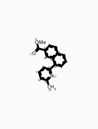 COC(=O)c1ccc2cccc(-c3cccc(C)n3)c2c1